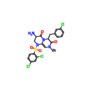 CC(C)N1C=C2N(C(=O)C(N)CN2S(=O)(=O)c2ccc(Cl)cc2Cl)C(Cc2cccc(Cl)c2)C1=O